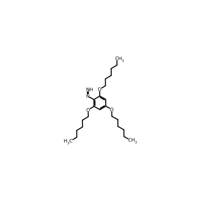 CCCCCCOc1cc(OCCCCCC)c(N=N)c(OCCCCCC)c1